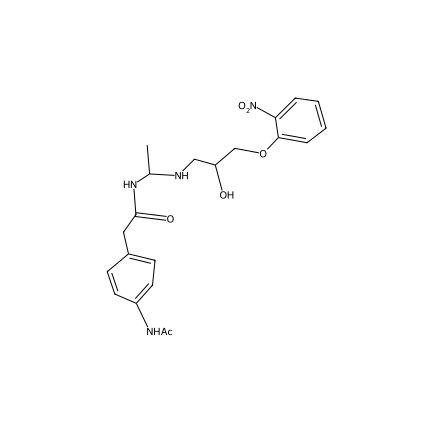 CC(=O)Nc1ccc(CC(=O)NC(C)NCC(O)COc2ccccc2[N+](=O)[O-])cc1